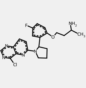 CC(N)CCOc1ccc(F)cc1C1CCCN1c1ccc2ncnc(Cl)c2n1